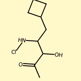 CC(=O)C(O)C(CC1CCC1)NCl